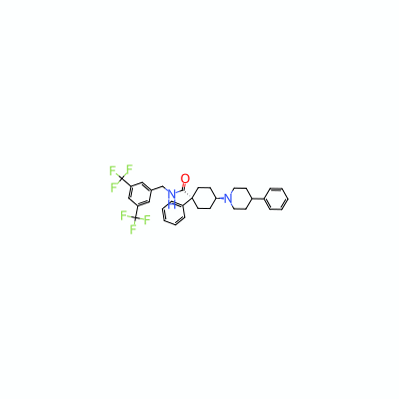 O=C(NCc1cc(C(F)(F)F)cc(C(F)(F)F)c1)[C@]1(c2ccccc2)CC[C@@H](N2CCC(c3ccccc3)CC2)CC1